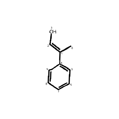 CC(=CO)c1ccccc1